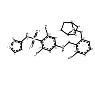 O=S(=O)(Nc1ccsn1)c1c(F)cc(NCc2c(F)cccc2CN2C3CCC2CC3)cc1F